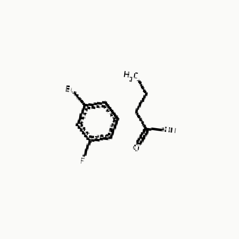 CCCC(=O)O.CCc1cccc(F)c1